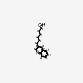 OCCCCCCc1cnc2ccccc2c1